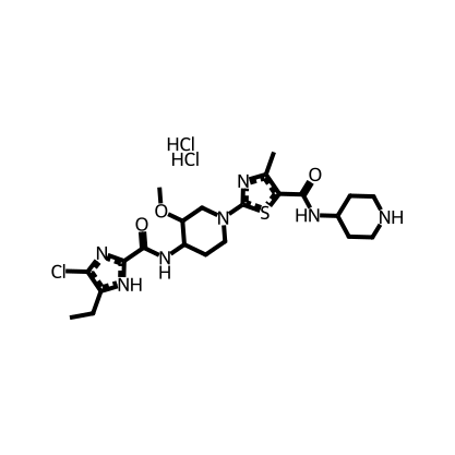 CCc1[nH]c(C(=O)NC2CCN(c3nc(C)c(C(=O)NC4CCNCC4)s3)CC2OC)nc1Cl.Cl.Cl